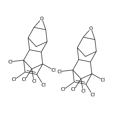 ClC1=C(Cl)C2(Cl)C3C4CC(C5OC45)C3C1(Cl)C2(Cl)Cl.ClC1=C(Cl)C2(Cl)C3C4CC(C5OC45)C3C1(Cl)C2(Cl)Cl